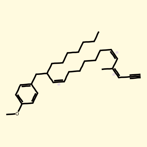 C#C/C=C(C)\C=C/CCCCC/C=C\C(CCCCCCC)Cc1ccc(OC)cc1